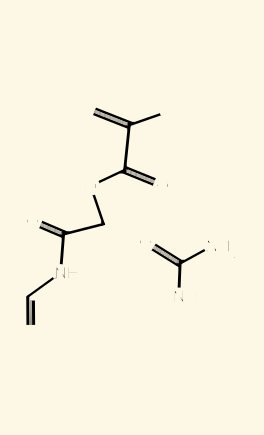 C=CNC(=O)COC(=O)C(=C)C.NC(N)=O